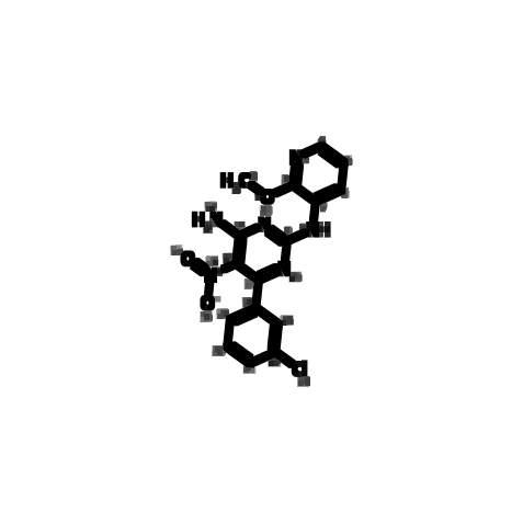 COc1ncccc1Nc1nc(N)c([N+](=O)[O-])c(-c2cccc(Cl)c2)n1